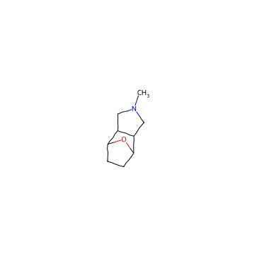 CN1CC2C3CCC(O3)C2C1